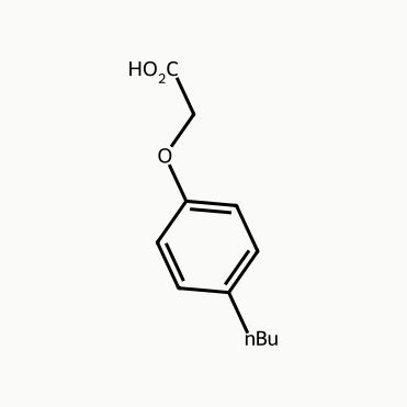 CCCCc1ccc(OCC(=O)O)cc1